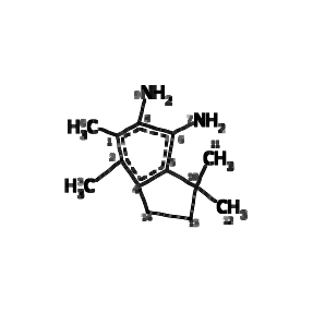 Cc1c(C)c2c(c(N)c1N)C(C)(C)CC2